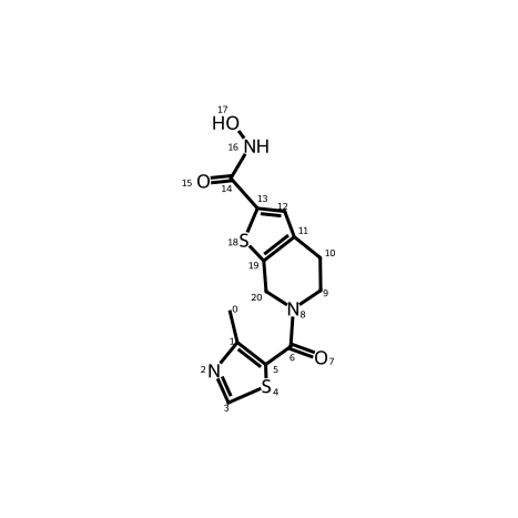 Cc1ncsc1C(=O)N1CCc2cc(C(=O)NO)sc2C1